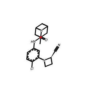 CC1CC2CC(C1)N2C(=O)Nc1ccc(Cl)c(N2CC[C@@H]2C#N)c1